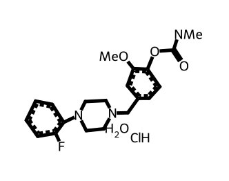 CNC(=O)Oc1ccc(CN2CCN(c3ccccc3F)CC2)cc1OC.Cl.O